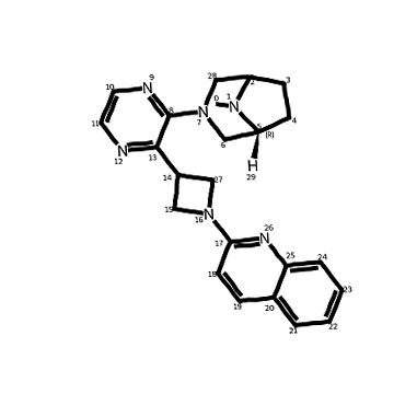 CN1C2CC[C@@H]1CN(c1nccnc1C1CN(c3ccc4ccccc4n3)C1)C2